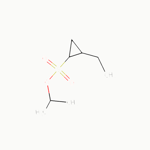 CCC1CC1S(=O)(=O)OC(C)C